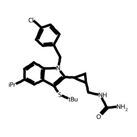 CC(C)c1ccc2c(c1)c(SC(C)(C)C)c(C1CC1CNC(N)=O)n2Cc1ccc(Cl)cc1